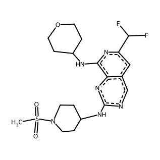 CS(=O)(=O)N1CCC(Nc2ncc3cc(C(F)F)nc(NC4CCOCC4)c3n2)CC1